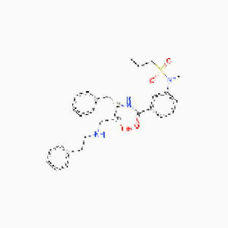 CCCS(=O)(=O)N(C)c1cccc(C(=O)N[C@@H](Cc2ccccc2)[C@H](O)CNCCc2ccccc2)c1